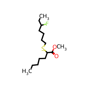 CCCCCC(SCCCCC(F)CC)C(=O)OC